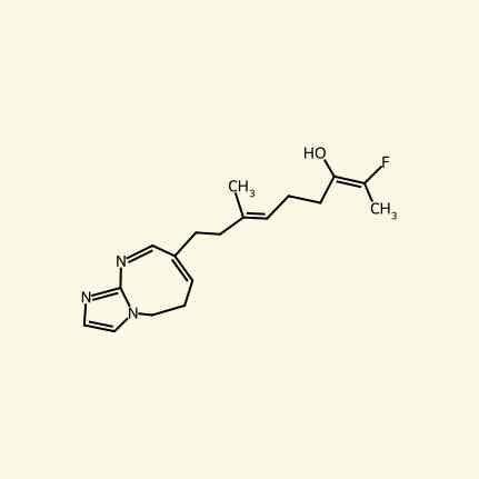 C/C(F)=C(/O)CC/C=C(\C)CCC1=CCCn2ccnc2/N=C\1